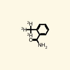 [2H]C([2H])([2H])c1ccccc1C(N)=O